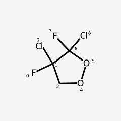 FC1(Cl)COOC1(F)Cl